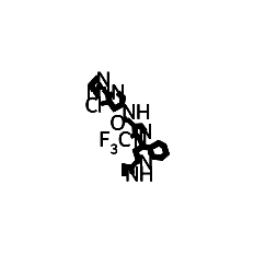 O=C(Nc1cnc(-n2nccn2)c(Cl)c1)c1cnn(-c2cc(C3CCN3)nc3ccccc23)c1C(F)(F)F